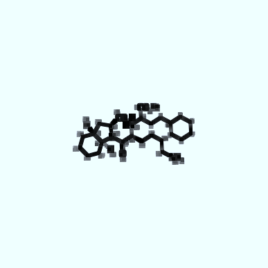 CCOC(=O)C(CCC1CCCCC1)N[C@@H](CCCCN)C(=O)N1[C@H](C(=O)O)C[C@H]2CCCC[C@@H]21